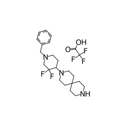 FC1(F)CN(Cc2ccccc2)CCC1N1CCC2(CCNCC2)CC1.O=C(O)C(F)(F)F